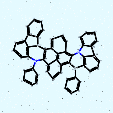 c1ccc(B2c3c(c4cccc5c6c(c7cccc3c7c54)N(c3ccccc3)c3cccc4c3B6c3ccccc3-4)-n3c4ccccc4c4cccc2c43)cc1